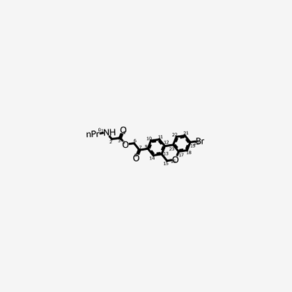 CCCNCC(=O)OCC(=O)c1ccc2c(c1)COc1cc(Br)ccc1-2